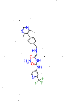 Cc1ncnc(C)c1-c1ccc(CN/C=C(/NC(=O)Nc2ccnc(C(F)(F)F)c2)ON)cc1